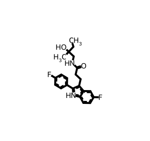 CCC(C)(O)CNC(=O)CCc1c(-c2ccc(F)cc2)[nH]c2ccc(F)cc12